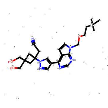 C[Si](C)(C)CCOCn1ccc2c(-c3cnn(C4(CC#N)CC(CO)(CO)C4)c3)ncnc21